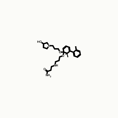 Cc1ccccc1C1=CC=CC(OCCCNCCC(N)=O)(OCCCN2CCC(O)C2)[C@@H]1C